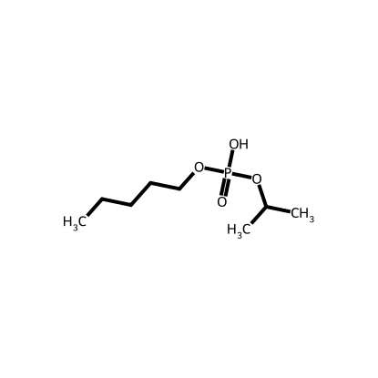 CCCCCOP(=O)(O)OC(C)C